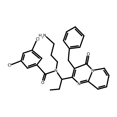 CCC(c1nc2ccccn2c(=O)c1Cc1ccccc1)N(CCCN)C(=O)c1cc(Cl)cc(Cl)c1